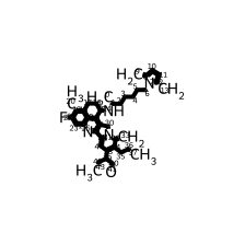 C=C(CCCCCn1c(=C)ccc1=C)NC1CCc2c(C)c(F)cc3nc4c(c1c23)CN1C(=C)C(CCC)=C(C(C=O)CC)C=C41